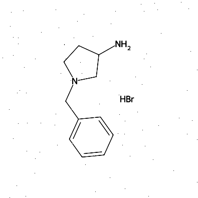 Br.NC1CCN(Cc2ccccc2)C1